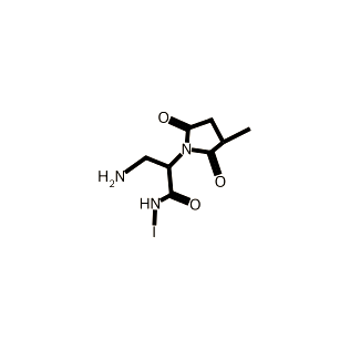 CC1CC(=O)N(C(CN)C(=O)NI)C1=O